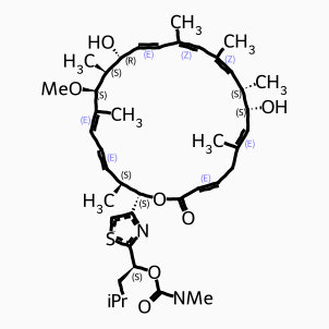 CNC(=O)O[C@@H](CC(C)C)c1nc([C@H]2OC(=O)/C=C/C/C(C)=C/[C@@H](O)[C@@H](C)\C=C(C)/C=C(C)\C=C\[C@@H](O)[C@H](C)[C@H](OC)/C(C)=C/C=C/[C@@H]2C)cs1